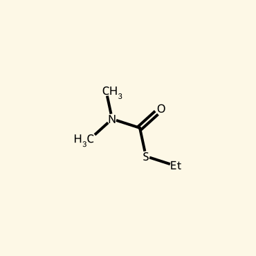 [CH2]CSC(=O)N(C)C